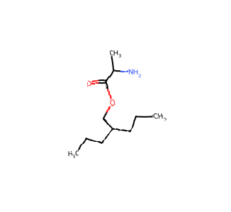 CCCC(CCC)COC(=O)C(C)N